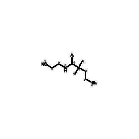 CC(C)(C)CCC(C)(C)C(=O)NCCC#N